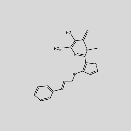 Cn1c(-c2sccc2NCC=Cc2ccccc2)nc(C(=O)O)c(O)c1=O